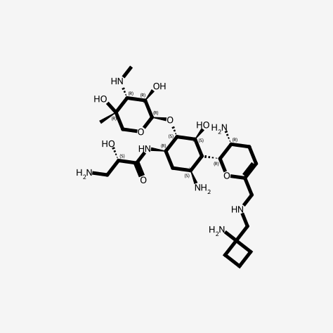 CN[C@@H]1[C@@H](O)[C@@H](O[C@H]2[C@H](NC(=O)[C@@H](O)CN)C[C@H](N)C([C@H]3OC(CNCC4(N)CCC4)=CC[C@H]3N)[C@@H]2O)OC[C@]1(C)O